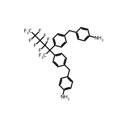 Nc1ccc(Cc2ccc(C(c3ccc(Cc4ccc(N)cc4)cc3)(C(F)(F)F)C(F)(F)C(F)(F)C(F)(F)C(F)(F)F)cc2)cc1